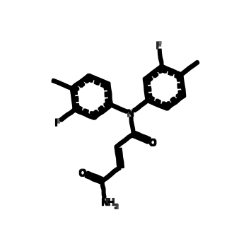 Cc1ccc(N(C(=O)/C=C/C(N)=O)c2ccc(C)c(F)c2)cc1F